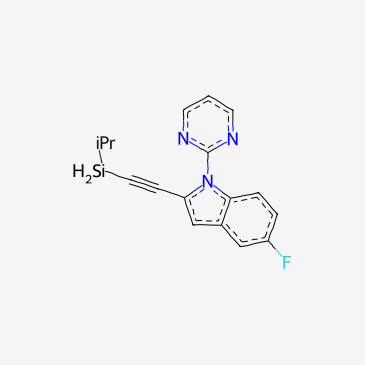 CC(C)[SiH2]C#Cc1cc2cc(F)ccc2n1-c1ncccn1